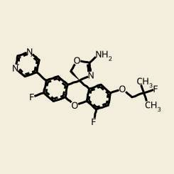 CC(C)(F)COc1cc(F)c2c(c1)[C@]1(COC(N)=N1)c1cc(-c3cncnc3)c(F)cc1O2